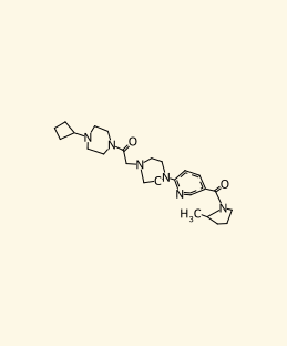 CC1CCCN1C(=O)c1ccc(N2CCN(CC(=O)N3CCN(C4CCC4)CC3)CC2)nc1